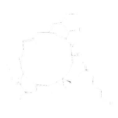 COc1cc2cc(c1Cl)N(C)C(=O)C[C@H](OC(=O)[C@H](C)OCCS)[C@]1(C)O[C@H]1C[C@@H]1C[C@@](O)(NC(=O)O1)[C@H](OC)/C=C/C=C(\C)C2